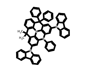 CC1(C)c2cc(-n3c4ccccc4c4ccccc43)cc3c2N2c4c(cc(-n5c6ccccc6c6ccccc65)cc4C(c4ccccc4)(c4ccccc4)c4cccc1c42)B3c1ccccc1